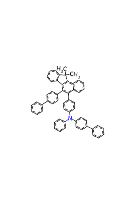 CC1(C)c2ccccc2-c2c(-c3ccc(-c4ccccc4)cc3)c(-c3ccc(N(c4ccccc4)c4ccc(-c5ccccc5)cc4)cc3)c3ccccc3c21